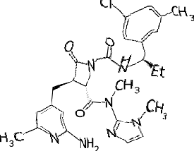 CC[C@@H](NC(=O)N1C(=O)[C@H](Cc2cc(C)nc(N)c2)[C@H]1C(=O)N(C)c1nccn1C)c1cc(C)cc(Cl)c1